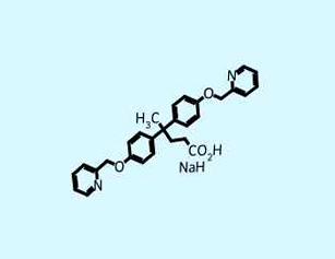 CC(CCC(=O)O)(c1ccc(OCc2ccccn2)cc1)c1ccc(OCc2ccccn2)cc1.[NaH]